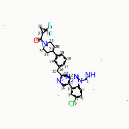 N=CN(N)c1ccc(Cl)cc1-c1ccc(Cc2cccc(C3CCN(C(=O)C4CC4(F)F)CC3)c2)nc1